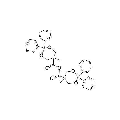 CC1(C(=O)OC(=O)C2(C)COC(c3ccccc3)(c3ccccc3)OC2)COC(c2ccccc2)(c2ccccc2)OC1